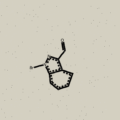 O=Cc1nn(Br)c2ccccc12